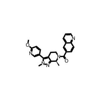 COc1ccc(-c2c3c(nn2C)[C@H](C)N(C(=O)c2ccc4ncccc4c2)CC3)cn1